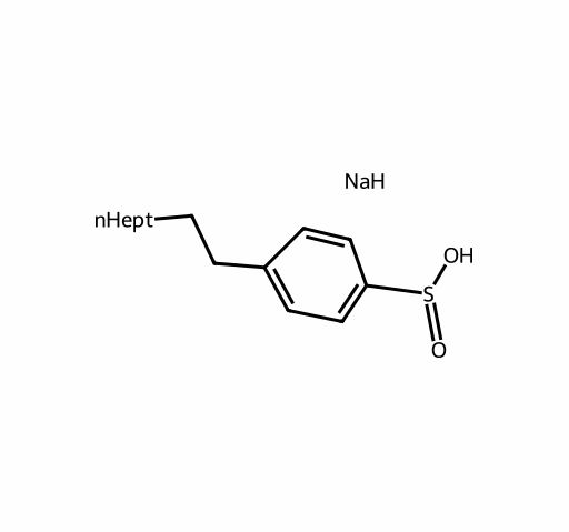 CCCCCCCCCc1ccc(S(=O)O)cc1.[NaH]